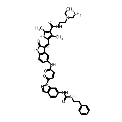 CCN(CC)CCNC(=O)c1c(C)[nH]c(/C=C2\C(=O)Nc3ccc(NC(=O)/C=C\C(=O)n4ncc5ccc(NC(=O)NCCc6ccccc6)cc54)cc32)c1C